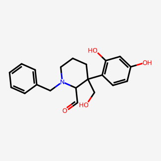 O=CC1N(Cc2ccccc2)CCCC1(CO)c1ccc(O)cc1O